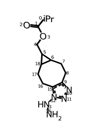 CC(C)C(=O)OCC1C2CCc3nnn(NN)c3CCC21